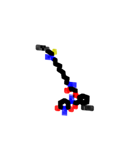 COCC(=S)NCCCCCCCCNC(=O)COc1cccc(C=O)c1C(=O)NC1CCC(=O)NC1=O